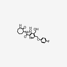 O=C(NC1CCCCNC1=O)c1ncc(COc2ccc(F)cc2)c(CO)c1O